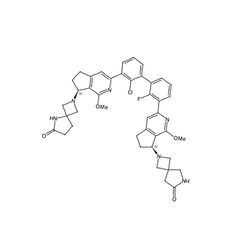 COc1nc(-c2cccc(-c3cccc(-c4cc5c(c(OC)n4)[C@@H](N4CC6(CCC(=O)N6)C4)CC5)c3Cl)c2F)cc2c1[C@@H](N1CC3(CNC(=O)C3)C1)CC2